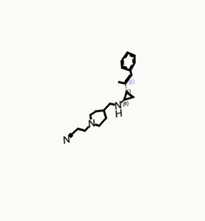 C/C(=C\c1ccccc1)[C@@H]1C[C@H]1NCC1CCN(CCC#N)CC1